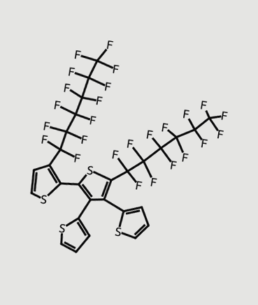 FC(F)(F)C(F)(F)C(F)(F)C(F)(F)C(F)(F)C(F)(F)c1ccsc1-c1sc(C(F)(F)C(F)(F)C(F)(F)C(F)(F)C(F)(F)C(F)(F)F)c(-c2cccs2)c1-c1cccs1